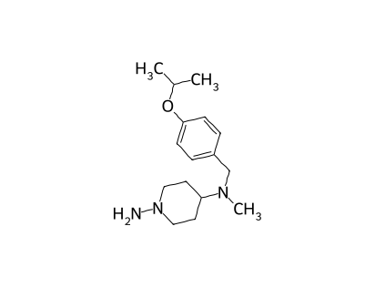 CC(C)Oc1ccc(CN(C)C2CCN(N)CC2)cc1